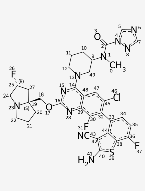 CN(C(=O)n1cncn1)C1CCCN(c2nc(OC[C@@]34CCCN3C[C@H](F)C4)nc3c(F)c(-c4ccc(F)c5sc(N)c(C#N)c45)c(Cl)cc23)C1